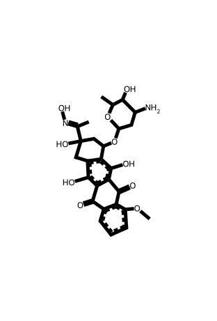 COc1cccc2c1C(=O)c1c(O)c3c(c(O)c1C2=O)CC(O)(/C(C)=N/O)CC3OC1CC(N)C(O)C(C)O1